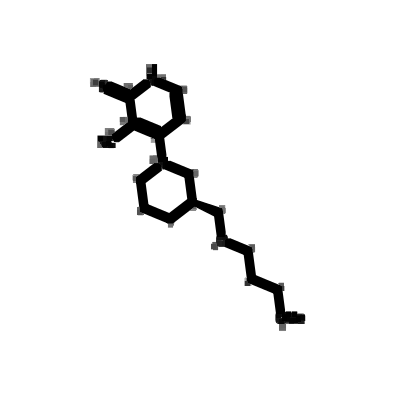 COCCCOC[C@H]1CCCN(c2cc[nH]c(=S)c2C#N)C1